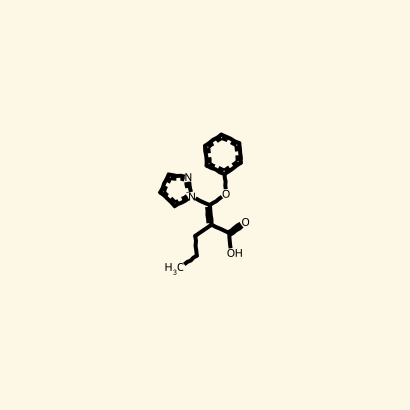 CCCC(C(=O)O)=C(Oc1ccccc1)n1cccn1